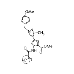 COC(=O)c1sc(-c2cn(Cc3ccc(OC)cc3)nc2C)cc1NC(=O)C1CC2CCN1CC2